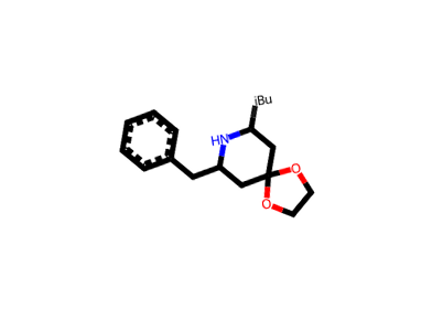 CCC(C)C1CC2(CC(Cc3ccccc3)N1)OCCO2